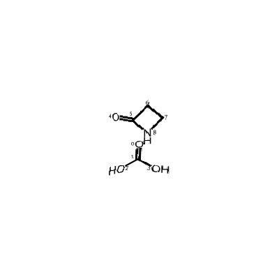 O=C(O)O.O=C1CCN1